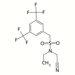 CCN(CC#N)S(=O)(=O)Cc1cc(C(F)(F)F)cc(C(F)(F)F)c1